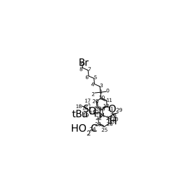 CC(C)(CCCCCCBr)c1cc2c(c(O[Si](C)(C)C(C)(C)C)c1)[C@H]1CC(C(=O)O)=CC[C@H]1C(C)(C)O2